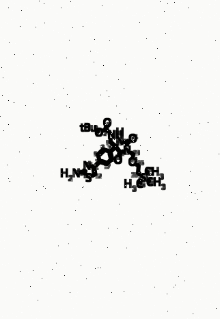 CC(C)(C)OC(=O)NCC1(c2ccc(-c3csc(N)n3)cc2)NC(=O)N(COCC[Si](C)(C)C)C1=O